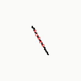 CCCCCCCCOCCOCCOCCOCCOCCCC